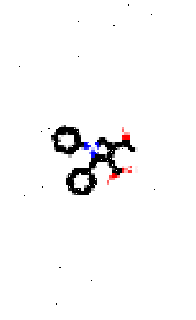 CC(=O)c1cn(-c2ccccc2)c(-c2ccccc2)c1C(=O)O